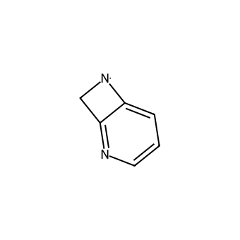 c1cnc2c(c1)[N]C2